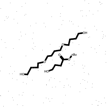 CCCCOC(=O)CCCO.OCCCCOCCCCOCCCCO